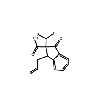 C=CCC1c2ccccc2C(=O)C1(C(=O)O)C(F)F